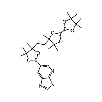 CC1(C)OB(B2OC(C)(C)C(C)(CCC3(C)OB(c4cnc5scnc5c4)OC3(C)C)O2)OC1(C)C